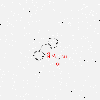 Cc1ccccc1Cc1ccccc1O.O=C(O)O